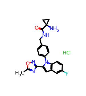 Cc1nc(-c2cc3cc(F)ccc3n2-c2ccc(CNC(=O)C3(N)CC3)cc2)no1.Cl